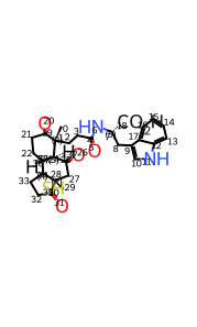 C[C@]1(CCC(=O)N[C@@H](Cc2c[nH]c3ccccc23)C(=O)O)C(=O)CC[C@@H]2[C@@H]1C(=O)C[C@]1(C)C(=O)CC[C@@]21S